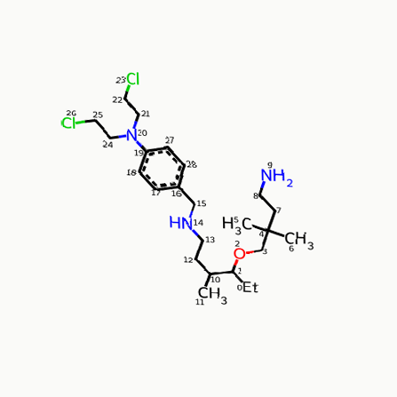 CCC(OCC(C)(C)CCN)C(C)CCNCc1ccc(N(CCCl)CCCl)cc1